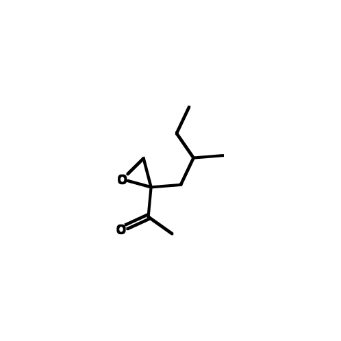 CCC(C)CC1(C(C)=O)CO1